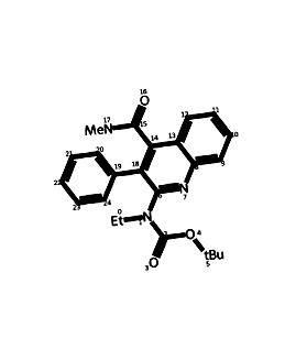 CCN(C(=O)OC(C)(C)C)c1nc2ccccc2c(C(=O)NC)c1-c1ccccc1